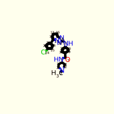 CN1CCC(NC(=O)c2ccc(Nc3nc4cccc(-c5ccc(Cl)cc5)n4n3)cc2)CC1